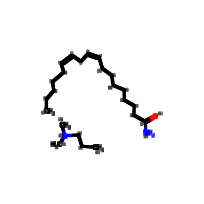 CCCCC/C=C\C/C=C\CCCCCCCC(N)=O.CCCN(C)C